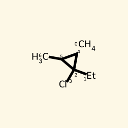 C.CCC1(Cl)CC1C